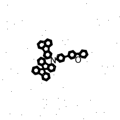 c1ccc2c(c1)-c1ccccc1C21c2ccccc2-c2c(N(c3ccc(-c4ccc5c(c4)oc4ccccc45)cc3)c3ccc4c(c3)-c3cccc5cccc-4c35)cccc21